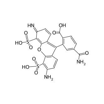 N=c1ccc2c(-c3cc(C(N)=O)ccc3C(=O)O)c3ccc(N)c(S(=O)(=O)O)c3oc-2c1S(=O)(=O)O